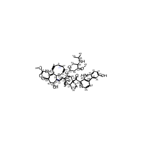 COC(=O)NC1=C2C#C/C=C\C#C[C@H](OC3OC(C)C(SC)(C(=O)c4nccc5c4[nH]c4ccc(O)cc45)CC3OC3CC(OC)C(NC(C)C)CO3)C2/C(=C\CS(C)(=S)=S)[C@@H](O)CC1=O